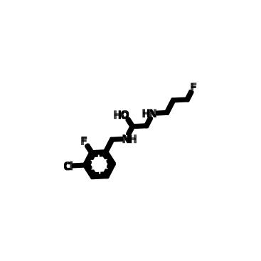 OC(CNCCCF)NCc1cccc(Cl)c1F